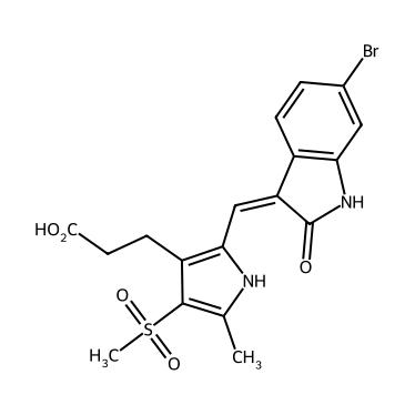 Cc1[nH]c(/C=C2\C(=O)Nc3cc(Br)ccc32)c(CCC(=O)O)c1S(C)(=O)=O